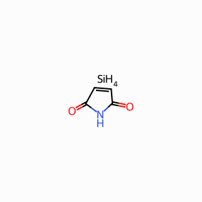 O=C1C=CC(=O)N1.[SiH4]